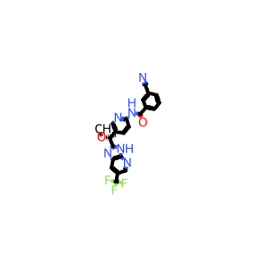 CO[C@@H](c1ccc(NC(=O)c2cccc(C#N)c2)nc1)c1nc2cc(C(F)(F)F)cnc2[nH]1